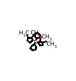 CCC1=C(CC)[C]([Ti]([C]2=CCC(CC)=C2CC)([c]2ccccc2)[c]2ccccc2)=CC1